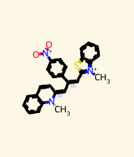 CN1/C(=C/C(=C/c2sc3ccccc3[n+]2C)c2ccc([N+](=O)[O-])cc2)C=Cc2ccccc21